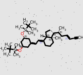 C#C/C=C/C[C@@H](C)[C@H]1CC[C@H]2/C(=C/C=C3C[C@@H](O[Si](C)(C)C(C)(C)C)C[C@H](O[Si](C)(C)C(C)(C)C)C3)CCC[C@]12C